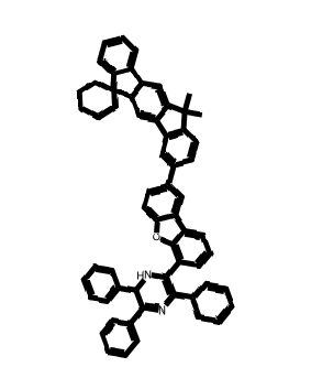 CC1(C)C2=CC3c4ccccc4C4(CCCCC4)C3C=C2c2cc(-c3ccc4oc5c(C6=C(C7C=CC=CC7)N=C(c7ccccc7)C(c7ccccc7)N6)cccc5c4c3)ccc21